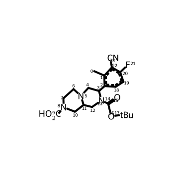 Cc1c(C2CN3CCN(C(=O)O)CC3CN2C(=O)OC(C)(C)C)ccc(F)c1C#N